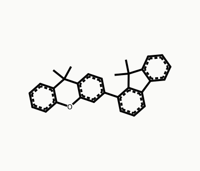 CC1(C)c2ccccc2Oc2cc(-c3cccc4c3C(C)(C)c3ccccc3-4)ccc21